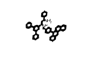 NC(/C=C(\NCc1ccc(-c2c3ccccc3cc3c2ccc2ccccc23)cc1)c1cc(-c2ccccc2)cc(-c2ccccc2)c1)c1ccccc1